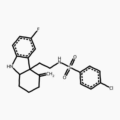 C=C1CCCC2Nc3ccc(F)cc3C12CCNS(=O)(=O)c1ccc(Cl)cc1